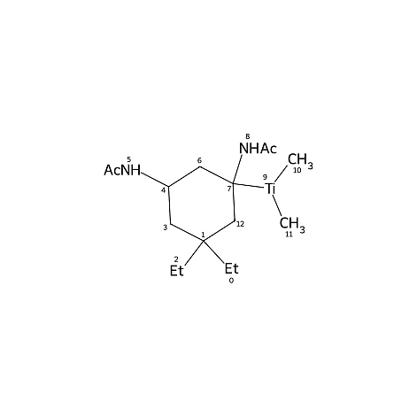 CCC1(CC)CC(NC(C)=O)C[C](NC(C)=O)([Ti]([CH3])[CH3])C1